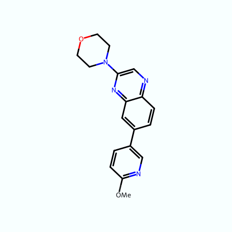 COc1ccc(-c2ccc3ncc(N4CCOCC4)nc3c2)cn1